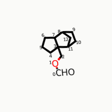 O=COCC12CCCC1C1CCC2C1